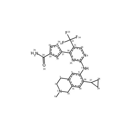 CN1CCc2cc(Nc3ncc(C(F)(F)F)c(-c4cc(C(N)=O)cs4)n3)c(C3CC3)cc2C1